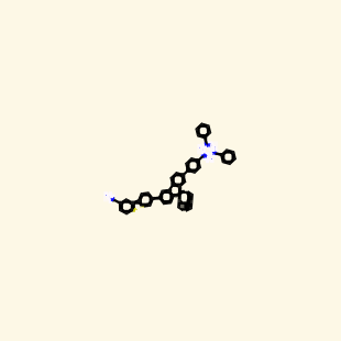 N#Cc1ccc2sc3cc(-c4ccc5c(c4)-c4ccc(-c6ccc(-c7nc(-c8ccccc8)nc(-c8ccccc8)n7)cc6)cc4C54C5CC6CC(C5)CC4C6)ccc3c2c1